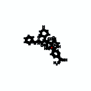 CC(NC(=O)c1ccc(C(=N)N)cc1)C(C(=O)O)(C(C(=O)NCc1ccccc1)N1CCNCC1=O)N1CCNCC1=O